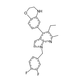 CCc1c(C)nc2c(ccn2Cc2ccc(F)c(F)c2)c1-c1ccc2c(c1)NCCO2